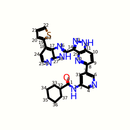 O=C(Nc1cncc(-c2ccc3[nH]nc(-c4nc5c(-c6cccs6)ccnc5[nH]4)c3n2)c1)C1CCCCC1